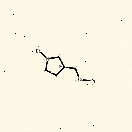 CCN1CC[C@H](COC(C)C)C1